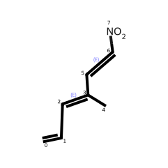 C=C/C=C(C)/C=C/[N+](=O)[O-]